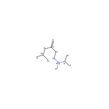 C=C(CCN(C)C(C)C)CC(C)C